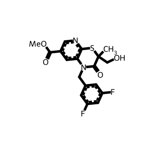 COC(=O)c1cnc2c(c1)N(Cc1cc(F)cc(F)c1)C(=O)C(C)(CO)S2